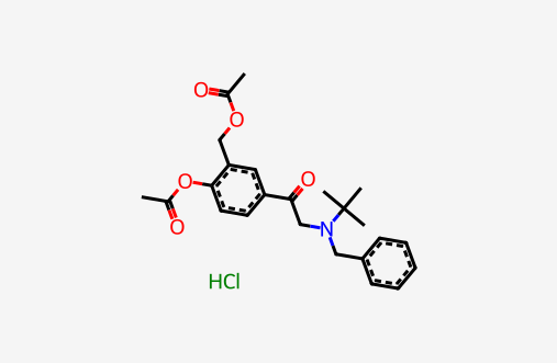 CC(=O)OCc1cc(C(=O)CN(Cc2ccccc2)C(C)(C)C)ccc1OC(C)=O.Cl